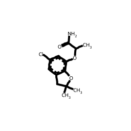 CC(Oc1cc(Cl)cc2c1OC(C)(C)C2)C(N)=O